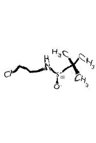 CC(C)(C)[S@@+]([O-])NCCCl